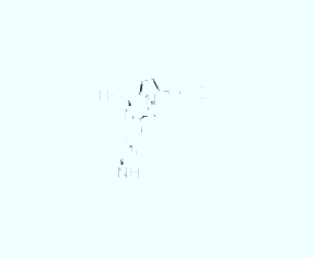 CCOC(=O)c1ccc2c(O)nc(COOC=N)nn12